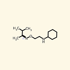 C/C(=N/OCCNC1CCCCC1)C(C)C